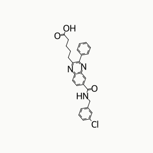 O=C(O)CCCCc1nc2ccc(C(=O)NCc3cccc(Cl)c3)cc2nc1-c1ccccc1